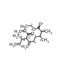 CCOC(=O)C(C)C(C)CCN(C)C(C(=O)OC)C(C)CC